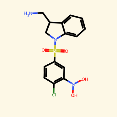 NCC1CN(S(=O)(=O)c2ccc(Cl)c(N(O)O)c2)c2ccccc21